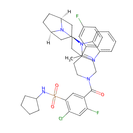 Cc1nc2ccccc2n1[C@H]1C[C@H]2CC[C@@H](C1)N2CCC1(c2cccc(F)c2)CCN(C(=O)c2cc(S(=O)(=O)NC3CCCC3)c(Cl)cc2F)CC1